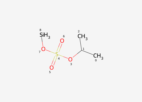 CC(C)OS(=O)(=O)O[SiH3]